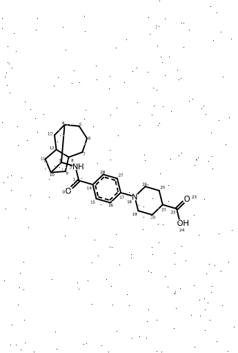 O=C(NC1C2CCCC3CC1CC3C2)c1ccc(N2CCC(C(=O)O)CC2)cc1